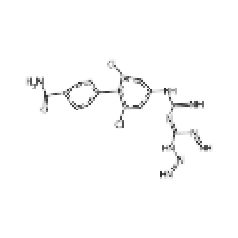 N=NN/C(N=N)=N/C(=N)Nc1cc(Cl)c(-c2ccc(C(N)=O)cc2)c(Cl)c1